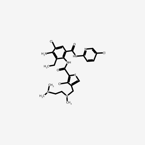 CCc1c(N)c(Cl)cc(C(=O)Nc2ccc(Cl)cn2)c1NC(=O)c1scc(CN(C)CCN(C)C)c1Cl